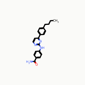 CCCCc1ccc(-c2ccnc(Nc3ccc(C(N)=O)cc3)n2)cc1